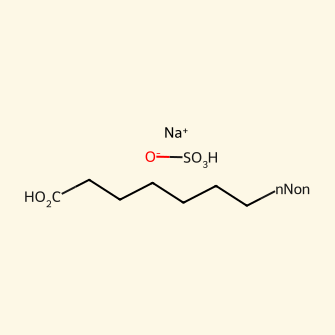 CCCCCCCCCCCCCCCC(=O)O.O=S(=O)([O-])O.[Na+]